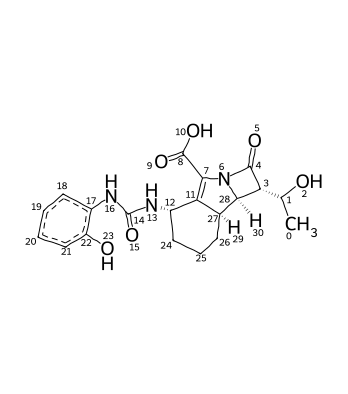 CC(O)[C@H]1C(=O)N2C(C(=O)O)=C3[C@@H](NC(=O)Nc4ccccc4O)CCC[C@@H]3[C@H]12